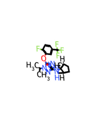 CC(C)n1nc(N[C@@H]2[C@@H]3CC[C@H]2CN(C#N)C3)nc1Oc1cc(C(F)(F)F)ccc1F